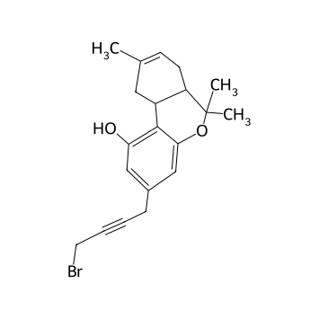 CC1=CCC2C(C1)c1c(O)cc(CC#CCBr)cc1OC2(C)C